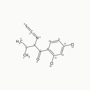 CC(C)C(N=C=S)C(=O)c1ccc(Cl)cc1Cl